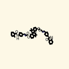 Cc1ccccc1C(=O)Nc1ccc(/C=C/COOc2ccc3c(c2)C2(CC3(C)C)CC(C)(C)c3ccc(OC(=O)/C=C/c4ccc(NC(=O)c5ccccc5C)cc4)cc32)cc1